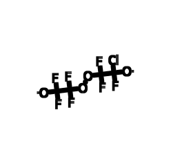 [O]C(F)(F)C(F)(F)OOC(F)(F)C([O])(F)Cl